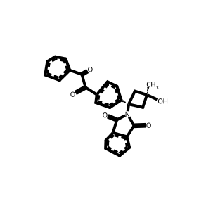 C[C@]1(O)C[C@@](c2ccc(C(=O)C(=O)c3ccccc3)cc2)(N2C(=O)c3ccccc3C2=O)C1